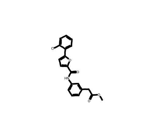 COC(=O)Cc1cccc(NC(=O)c2ccc(-c3ccccc3Cl)o2)c1